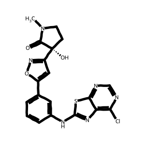 CN1CC[C@@](O)(c2cc(-c3cccc(Nc4nc5c(Cl)ncnc5s4)c3)on2)C1=O